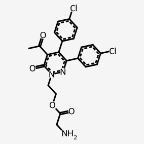 CC(=O)c1c(-c2ccc(Cl)cc2)c(-c2ccc(Cl)cc2)nn(CCOC(=O)CN)c1=O